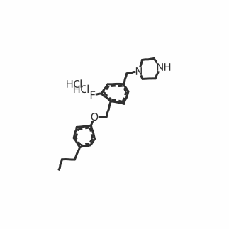 CCCc1ccc(OCc2ccc(CN3CCNCC3)cc2F)cc1.Cl.Cl